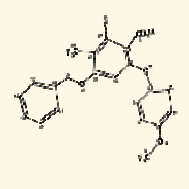 O=C(O)c1c(Oc2ccc(OC(F)(F)F)cc2)cc(OCc2ccccc2)c(C(F)(F)F)c1F